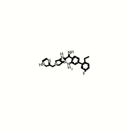 CCc1ccc(F)cc1-c1ccc(C(=N)c2nc3c([nH]2)CN(CC2=NC=CNC2)C3)c(N)c1